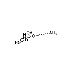 CCCCCCCCCCCCOCCCC(CC(=O)O)C(=O)Nc1ccc(O)cc1